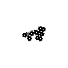 CC1Cc2c(c(-c3cccc4ccccc34)c3ccccc3c2-c2cccc3ccccc23)C=C1c1ccc(-c2nc3ccccc3n2-c2ccccc2)cc1